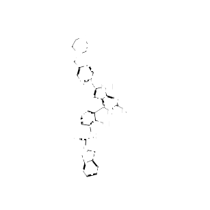 Cc1c(NC(=O)N2Cc3ccccc3C2)cccc1-c1nc(N)nc2[nH]c(-c3ccc(CN4CCOCC4)cn3)cc12